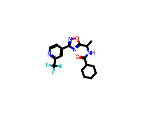 CC(NC(=O)C1CCCCC1)c1nc(-c2ccnc(C(F)(F)F)c2)no1